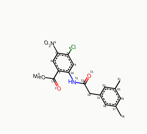 COC(=O)c1cc([N+](=O)[O-])c(Cl)cc1NC(=O)Cc1cc(C)cc(C)c1